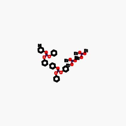 CCOP(OCC)OCC.CCOP(OCC)OCC.[Ni].c1ccc(OP(Oc2ccccc2)Oc2ccccc2)cc1.c1ccc(OP(Oc2ccccc2)Oc2ccccc2)cc1